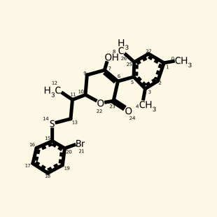 Cc1cc(C)c(C2=C(O)CC(C(C)CSc3ccccc3Br)OC2=O)c(C)c1